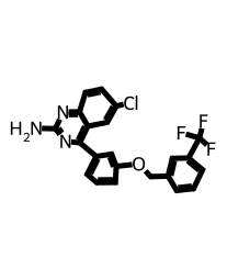 Nc1nc(-c2cccc(OCc3cccc(C(F)(F)F)c3)c2)c2cc(Cl)ccc2n1